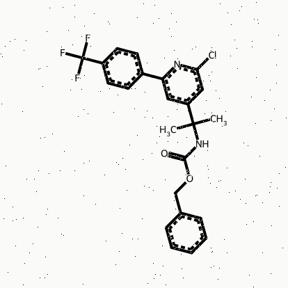 CC(C)(NC(=O)OCc1ccccc1)c1cc(Cl)nc(-c2ccc(C(F)(F)F)cc2)c1